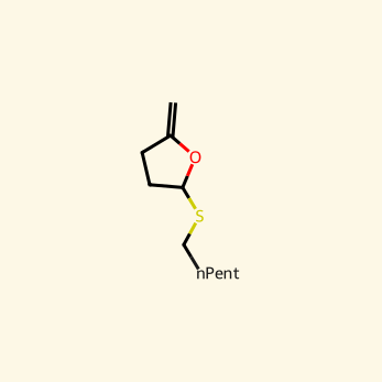 C=C1CCC(SCCCCCC)O1